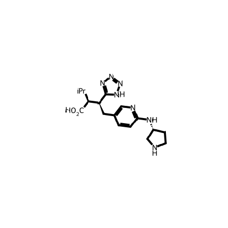 CC(C)C(C(=O)O)[C@H](Cc1ccc(N[C@@H]2CCNC2)nc1)c1nnn[nH]1